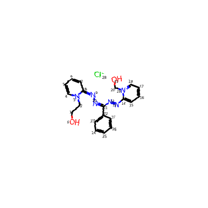 OCCn1ccccc1=NN=C(N=Nc1cccc[n+]1CO)c1ccccc1.[Cl-]